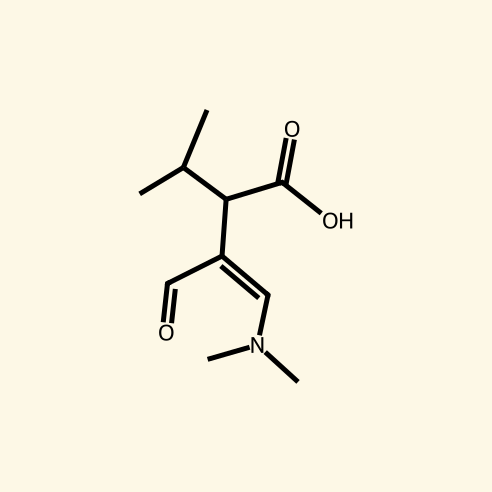 CC(C)C(C(=O)O)C(C=O)=CN(C)C